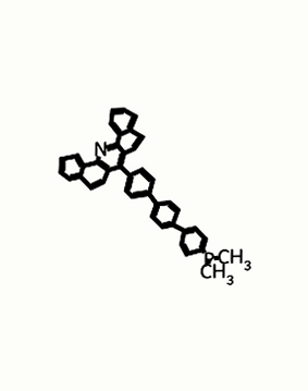 CP(C)c1ccc(-c2ccc(-c3ccc(-c4c5ccc6ccccc6c5nc5c4ccc4ccccc45)cc3)cc2)cc1